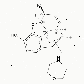 C1COCCN1.CN1CC[C@]23c4c5ccc(O)c4O[C@H]2[C@@H](O)C=C[C@H]3[C@H]1C5